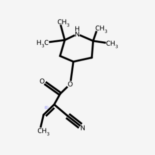 C/C=C(\C#N)C(=O)OC1CC(C)(C)NC(C)(C)C1